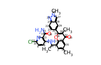 Cc1cc(C(C)Nc2ccc(Cl)nc2C(N)=O)c2oc(-c3ccc4nn(C)cc4c3)c(C)c(=O)c2c1